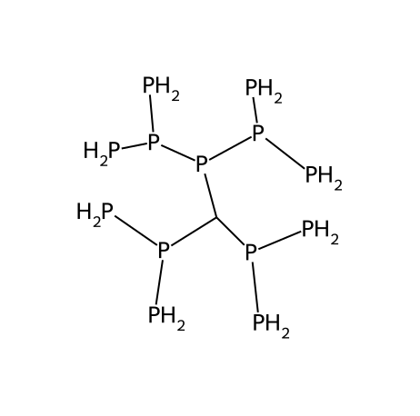 PP(P)C(P(P)P)P(P(P)P)P(P)P